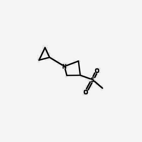 CS(=O)(=O)C1CN(C2CC2)C1